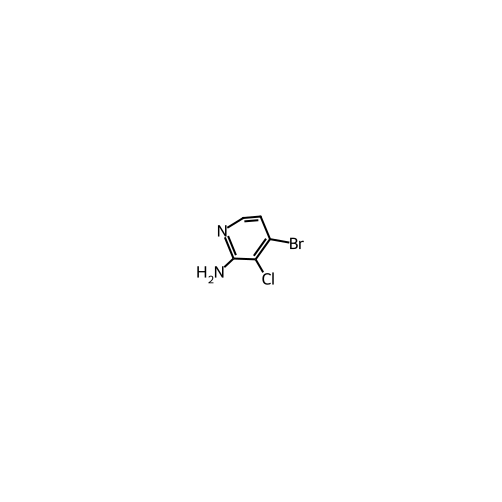 Nc1nccc(Br)c1Cl